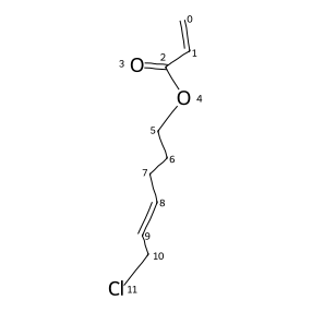 C=CC(=O)OCCCC=CCCl